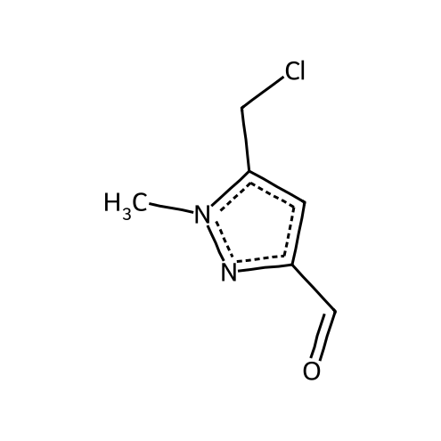 Cn1nc(C=O)cc1CCl